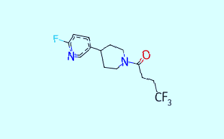 O=C(CCC(F)(F)F)N1CCC(c2ccc(F)nc2)CC1